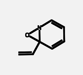 C=CC12C=CC=CN1O2